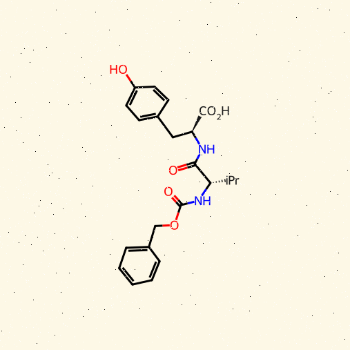 CC(C)[C@H](NC(=O)OCc1ccccc1)C(=O)N[C@@H](Cc1ccc(O)cc1)C(=O)O